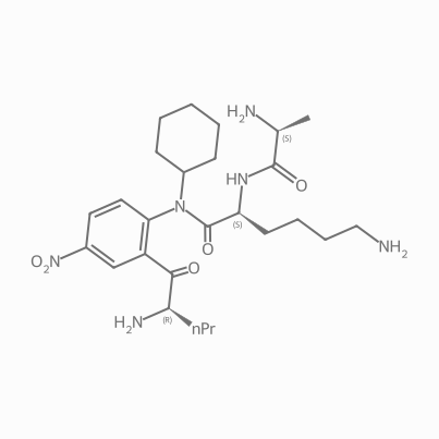 CCC[C@@H](N)C(=O)c1cc([N+](=O)[O-])ccc1N(C(=O)[C@H](CCCCN)NC(=O)[C@H](C)N)C1CCCCC1